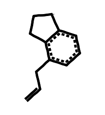 C=CCc1cccc2c1CC[CH]2